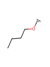 CCCC[O][Zn]